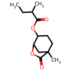 CCC(C)C(=O)OC1CCC2(C)CC1OC2=O